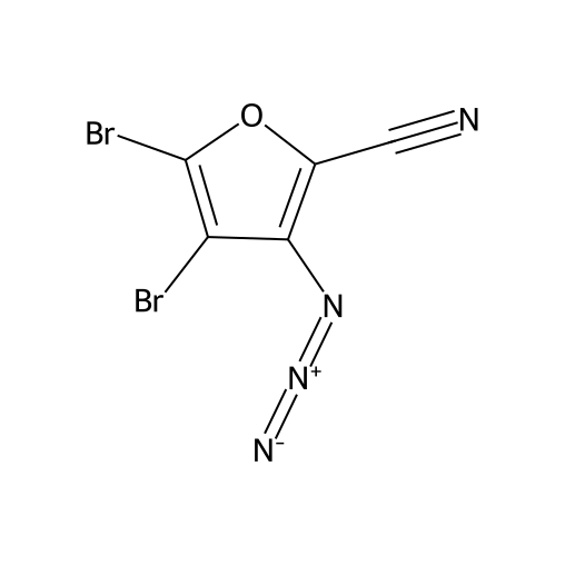 N#Cc1oc(Br)c(Br)c1N=[N+]=[N-]